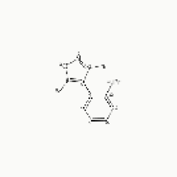 Cc1noc(C)c1-c1ccccc1C(C)C